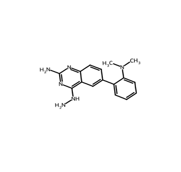 CN(C)c1ccccc1-c1ccc2nc(N)nc(NN)c2c1